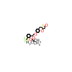 CC(C)(C)C(=O)OC(COc1ccc(CC2SC(=O)CC2=O)cc1)c1cccc(C(F)(F)F)c1